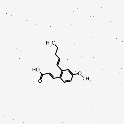 CCCC=Cc1cc(OC)ccc1C=CC(=O)O